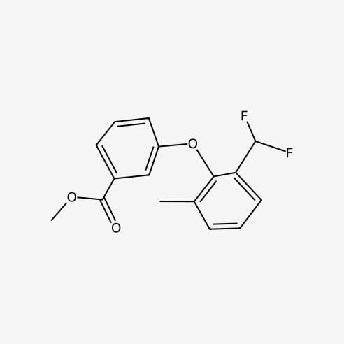 COC(=O)c1cccc(Oc2c(C)cccc2C(F)F)c1